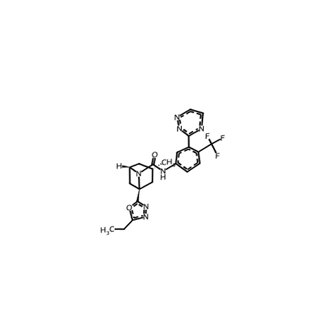 CCc1nnc([C@@]23C[C@@H](C)C[C@@H](C2)N3C(=O)Nc2ccc(C(F)(F)F)c(-c3nccnn3)c2)o1